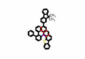 CC1(C)c2ccccc2-c2ccc(-c3ccc(N(c4cccc(-c5ccccc5)c4-c4ccccc4-c4ccccc4)c4cccc5c4sc4ccccc45)cc3)cc21